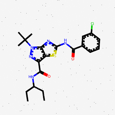 CCC(CC)NC(=O)c1nn(C(C)(C)C)c2nc(NC(=O)c3cccc(Cl)c3)sc12